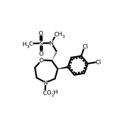 CN(C[C@H]1OCCN(C(=O)O)C[C@@H]1c1ccc(Cl)c(Cl)c1)S(C)(=O)=O